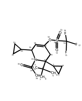 CC(C)(C)C1(C2CC2)CC(OS(=O)(=O)C(F)(F)F)=CC(C2CC2)N1C(=O)O